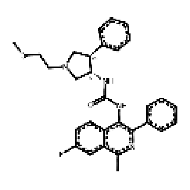 COCCN1C[C@@H](NC(=O)Nc2c(-c3ccccc3)nc(C)c3cc(F)ccc23)[C@H](c2ccccc2)C1